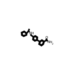 CC(NCc1ccc(-c2cccc(C(N)=O)c2)cc1)c1ccccc1